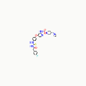 O=C(Cc1ccc(F)cc1)NC(=S)Nc1ccc(Oc2ccnc(NC(=O)ON3CCC(CN4CCC4)CC3)c2)cc1